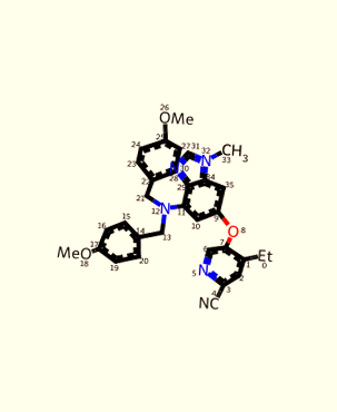 CCc1cc(C#N)ncc1Oc1cc(N(Cc2ccc(OC)cc2)Cc2ccc(OC)cc2)c2ncn(C)c2c1